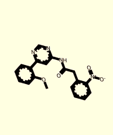 COc1ccccc1-c1cc(NC(=O)Cc2ccccc2[N+](=O)[O-])ncn1